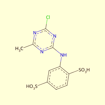 Cc1nc(Cl)nc(Nc2cc(S(=O)(=O)O)ccc2S(=O)(=O)O)n1